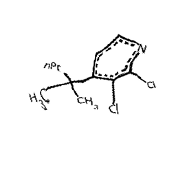 CCCC(C)(C)c1ccnc(Cl)c1Cl